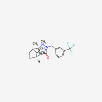 Cn1c2c(c(=O)n1Cc1cccc(C(F)(F)F)c1)[C@H]1CC[C@]2(C)C1(C)C